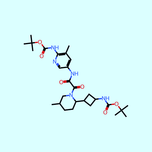 Cc1cc(NC(=O)C(=O)N2CC(C)CCC2C2CC(NC(=O)OC(C)(C)C)C2)cnc1NC(=O)OC(C)(C)C